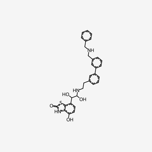 O=c1[nH]c2c(O)ccc(C(O)C(O)NCCc3cccc(-c4cccc(CNCc5ccccc5)c4)c3)c2s1